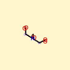 CCCSC(=O)N(CCCCCCCC/C=C\CCCCCC(=O)OC)CCCCCCCC/C=C\CCCCCC(=O)OC